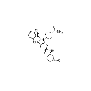 C=N/C(=N\c1c(C)nc(Nc2c(Cl)cccc2Cl)n1[C@H]1CC[C@@H](C(N)=O)CC1)N[C@@H]1CCCN(C(C)=O)C1